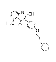 Cc1cccc2nc(C)n(-c3ccc(OCCCN4CCCCC4)cc3)c(=O)c12